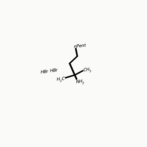 Br.Br.CCCCCCCC(C)(C)N